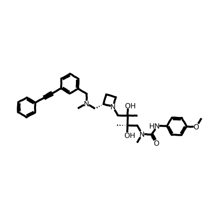 COc1ccc(NC(=O)N(C)C[C@@](C)(O)C(C)(O)CN2CC[C@H]2CN(C)Cc2cccc(C#Cc3ccccc3)c2)cc1